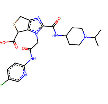 CC(C)N1CCC(NC(=O)c2nc3c(n2CC(=O)Nc2ccc(Cl)cn2)C(C(=O)O)SC3)CC1